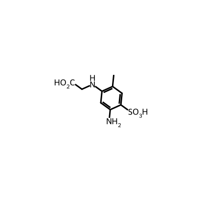 Cc1cc(S(=O)(=O)O)c(N)cc1NCC(=O)O